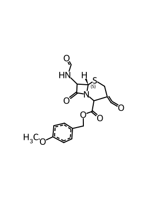 COc1ccc(COC(=O)C2C(=C=O)CS[C@H]3C(NC=O)C(=O)N23)cc1